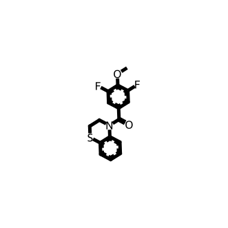 COc1c(F)cc(C(=O)N2CCSc3ccccc32)cc1F